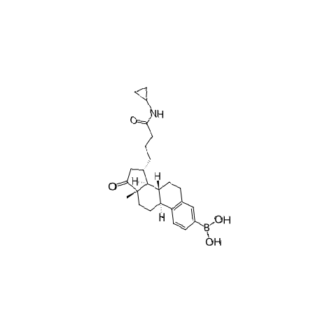 C[C@]12CC[C@@H]3c4ccc(B(O)O)cc4CC[C@H]3[C@@H]1[C@@H](CCCC(=O)NC1CC1)CC2=O